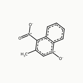 Cc1c[n+]([O-])c2ccccc2c1[N+](=O)[O-]